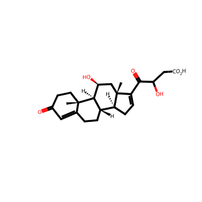 C[C@]12CCC(=O)C=C1CC[C@@H]1[C@@H]2[C@@H](O)C[C@]2(C)C(C(=O)C(O)CC(=O)O)=CC[C@@H]12